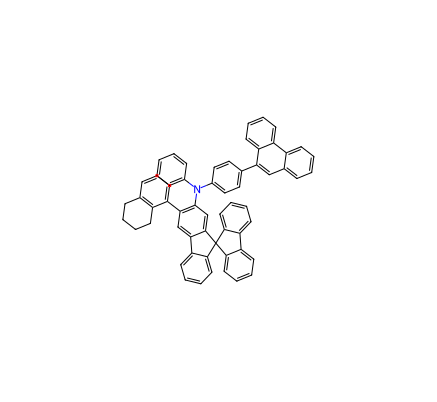 c1ccc(N(c2ccc(-c3cc4ccccc4c4ccccc34)cc2)c2cc3c(cc2-c2cccc4c2CCCC4)-c2ccccc2C32c3ccccc3-c3ccccc32)cc1